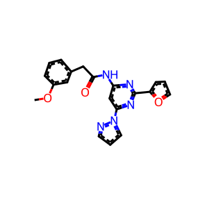 COc1cccc(CC(=O)Nc2cc(-n3cccn3)nc(-c3ccco3)n2)c1